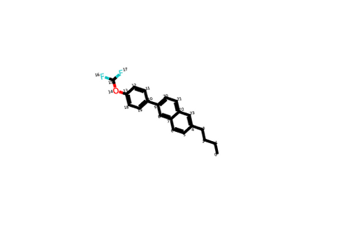 CCCCc1ccc2cc(-c3ccc(OC(F)F)cc3)ccc2c1